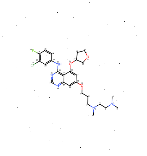 CN(C)CCN(C)CCCOc1cc(OC2CCOC2)c2c(Nc3ccc(F)c(Cl)c3)ncnc2c1